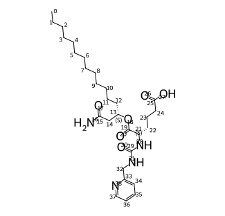 CCCCCCCCCCCCC[C@@H](CC(N)=O)OC(=O)[C@H](CCCC(=O)O)NC(=O)NCc1ccccn1